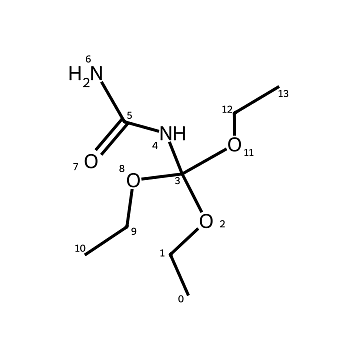 CCOC(NC(N)=O)(OCC)OCC